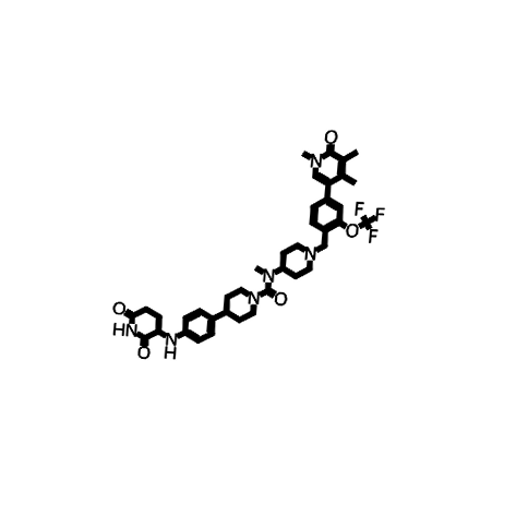 Cc1c(-c2ccc(CN3CCC(N(C)C(=O)N4CCC(c5ccc(NC6CCC(=O)NC6=O)cc5)CC4)CC3)c(OC(F)(F)F)c2)cn(C)c(=O)c1C